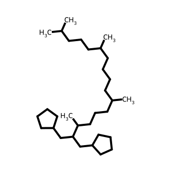 CC(C)CCCC(C)CCCCC(C)CCCC(C)C(CC1CCCC1)CC1CCCC1